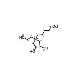 CCCCCCCCCCCC[N+](CCO)(CCO)CCO